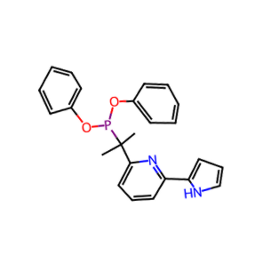 CC(C)(c1cccc(-c2ccc[nH]2)n1)P(Oc1ccccc1)Oc1ccccc1